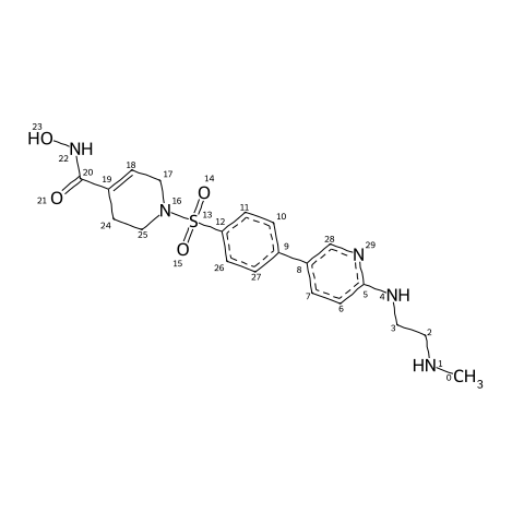 CNCCNc1ccc(-c2ccc(S(=O)(=O)N3CC=C(C(=O)NO)CC3)cc2)cn1